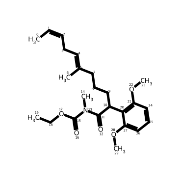 C/C=C\C/C=C(\C)CCCC(C(=O)N(C)C(=O)OCC)c1c(OC)cccc1OC